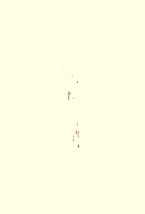 [CH]N=NSC#N